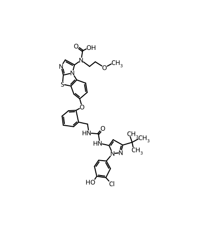 COCCN(C(=O)O)c1cnc2sc3cc(Oc4ccccc4CNC(=O)Nc4cc(C(C)(C)C)nn4-c4ccc(O)c(Cl)c4)ccc3n12